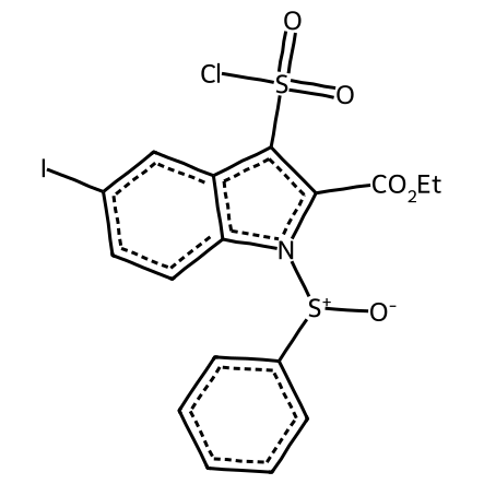 CCOC(=O)c1c(S(=O)(=O)Cl)c2cc(I)ccc2n1[S+]([O-])c1ccccc1